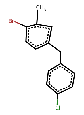 Cc1cc(Cc2ccc(Cl)cc2)ccc1Br